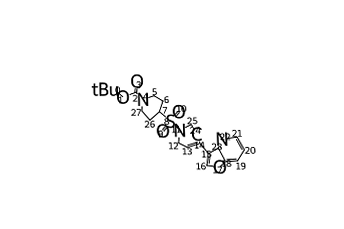 CC(C)(C)OC(=O)N1CCC(S(=O)(=O)N2CC=C(c3coc4cccnc34)CC2)CC1